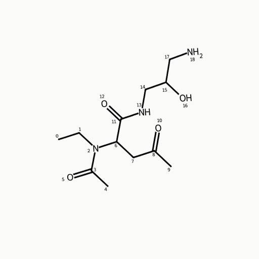 CCN(C(C)=O)C(CC(C)=O)C(=O)NCC(O)CN